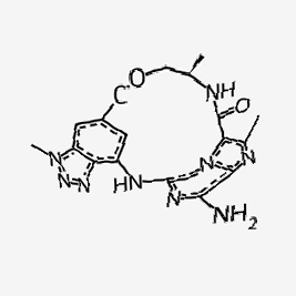 Cc1nc2c(N)nc3cn2c1C(=O)N[C@H](C)COCc1cc(c2nnn(C)c2c1)N3